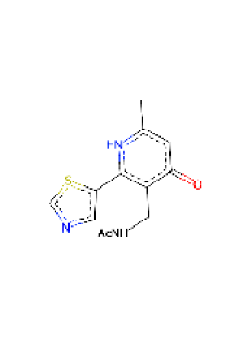 CC(=O)NCc1c(-c2cncs2)[nH]c(C)cc1=O